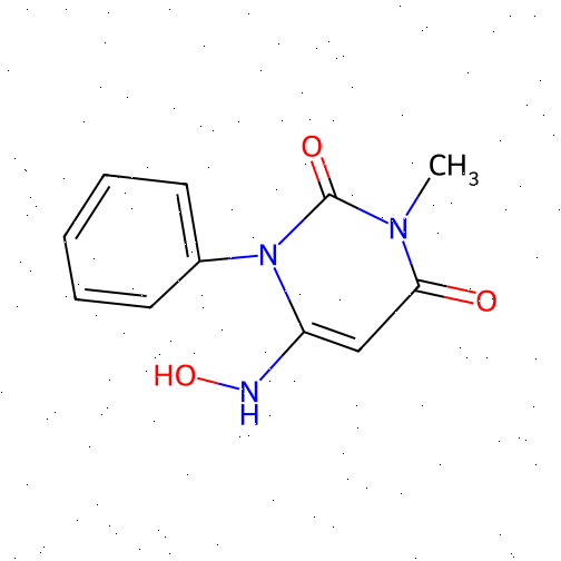 Cn1c(=O)cc(NO)n(-c2ccccc2)c1=O